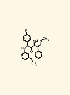 CN/C=C(\C(=N)C(=O)C(Nc1cccc(OC)c1)c1ccc(F)cc1)c1ccccc1